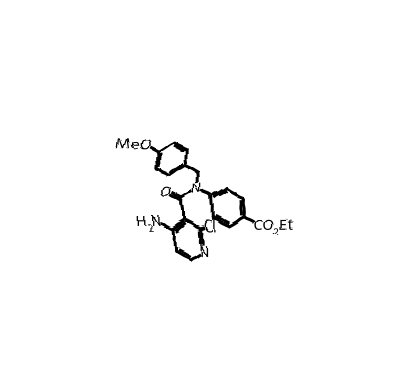 CCOC(=O)c1ccc(N(Cc2ccc(OC)cc2)C(=O)c2c(N)ccnc2Cl)cc1